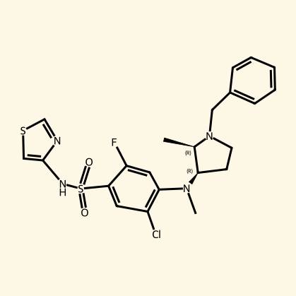 C[C@@H]1[C@H](N(C)c2cc(F)c(S(=O)(=O)Nc3cscn3)cc2Cl)CCN1Cc1ccccc1